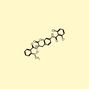 C[S+]([O-])c1ccccc1C(=O)NC(Cc1ccc(NC(=O)c2c(Cl)cccc2Cl)cc1)C(=O)O